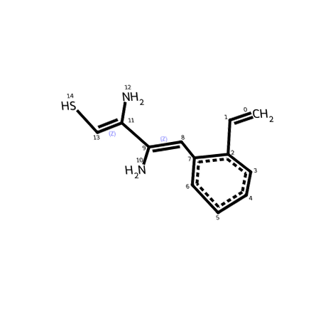 C=Cc1ccccc1/C=C(N)/C(N)=C/S